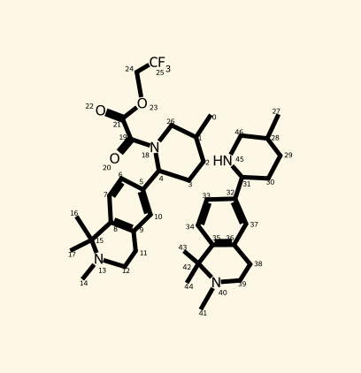 CC1CCC(c2ccc3c(c2)CCN(C)C3(C)C)N(C(=O)C(=O)OCC(F)(F)F)C1.CC1CCC(c2ccc3c(c2)CCN(C)C3(C)C)NC1